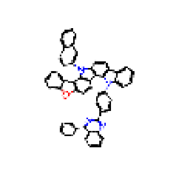 c1ccc(-c2nc(-c3ccc(-n4c5ccccc5c5ccc6c(c7ccc8oc9ccccc9c8c7n6-c6ccc7ccccc7c6)c54)cc3)nc3ccccc23)cc1